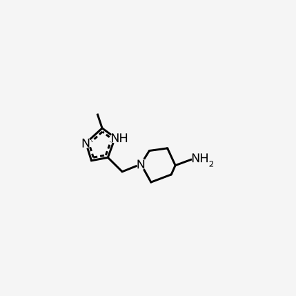 Cc1ncc(CN2CCC(N)CC2)[nH]1